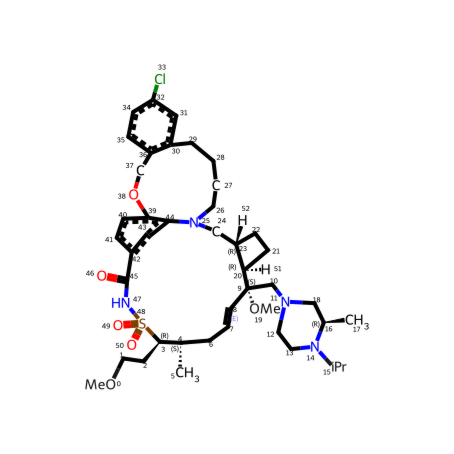 COCC[C@@H]1[C@@H](C)C/C=C/[C@@](CN2CCN(C(C)C)[C@H](C)C2)(OC)[C@@H]2CC[C@H]2CN2CCCCc3cc(Cl)ccc3COc3ccc(cc32)C(=O)NS1(=O)=O